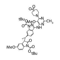 COc1ccc2c(c1)[C@]1(C[C@H]1c1ccc3c(Nc4nc(C)nc(N5CCS(=O)(=O)CC5)c4OC)nn(C(=O)OC(C)(C)C)c3c1)C(=O)N2C(=O)OC(C)(C)C